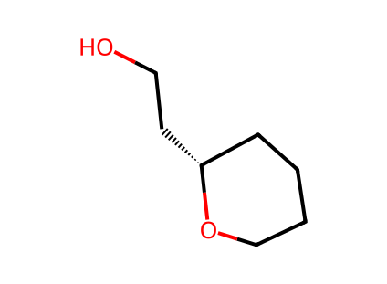 OCC[C@@H]1CCCCO1